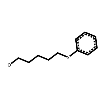 [O]CCCCCSc1ccccc1